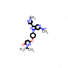 CNc1cc2c(cn1)c(-c1cnn(C)c1)nn2C1CCC(Oc2ccc(=O)n(C(C)C)n2)CC1